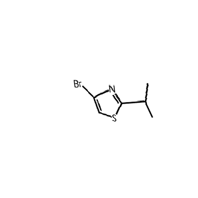 CC(C)c1nc(Br)cs1